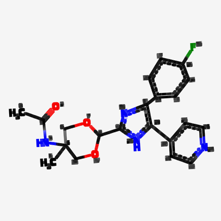 CC(=O)NC1(C)COC(c2nc(-c3ccc(F)cc3)c(-c3ccncc3)[nH]2)OC1